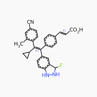 Cc1cc(C#N)ccc1/C(=C(\c1ccc(/C=C/C(=O)O)cc1)c1ccc2c(c1)C(F)NN2)C1CC1